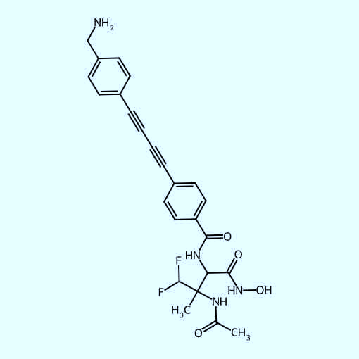 CC(=O)NC(C)(C(F)F)C(NC(=O)c1ccc(C#CC#Cc2ccc(CN)cc2)cc1)C(=O)NO